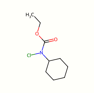 CCOC(=O)N(Cl)C1CCCCC1